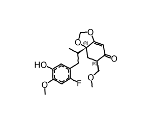 COC[C@H]1C[C@]2(C(C)Cc3cc(O)c(OC)cc3F)OCOC2=CC1=O